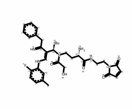 Cc1ccc(F)c(N/C=C(\C(=N)Cc2ccccc2)[C@H](N(CC[C@H](N)C(=O)NCCN2C(=O)C=CC2=O)C(=O)CO)C(C)(C)C)c1